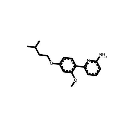 COc1cc(OCCC(C)C)ccc1-c1cccc(N)n1